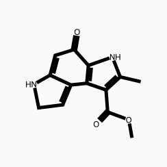 COC(=O)c1c(C)[nH]c2c1C1=CCNC1=CC2=O